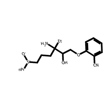 CCC[S+]([O-])CCCC(N)(CC)C(O)COc1ccccc1C#N